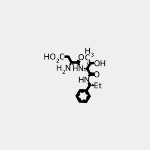 CC[C@H](NC(=O)[C@H](NC(=O)[C@@H](N)CC(=O)O)[C@H](C)O)c1ccccc1